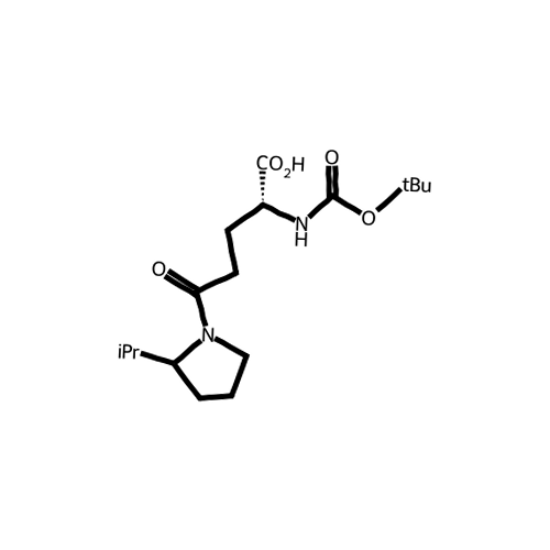 CC(C)C1CCCN1C(=O)CC[C@@H](NC(=O)OC(C)(C)C)C(=O)O